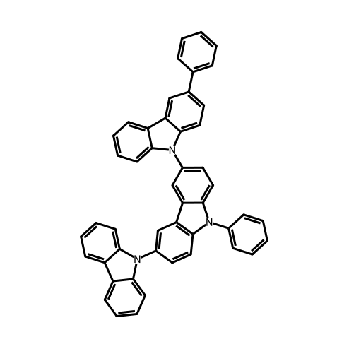 c1ccc(-c2ccc3c(c2)c2ccccc2n3-c2ccc3c(c2)c2cc(-n4c5ccccc5c5ccccc54)ccc2n3-c2ccccc2)cc1